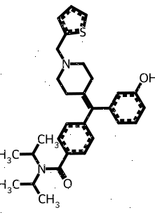 CC(C)N(C(=O)c1ccc(C(=C2CCN(Cc3cccs3)CC2)c2cccc(O)c2)cc1)C(C)C